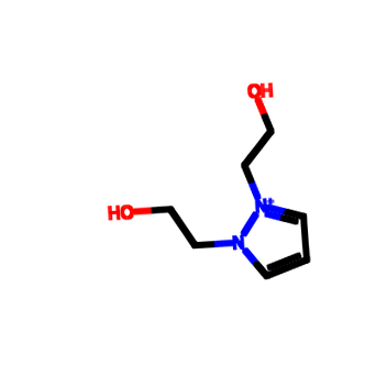 OCCn1ccc[n+]1CCO